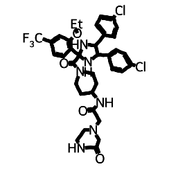 CCOc1cc(C(F)(F)F)ccc1C1(C(=O)N2CCC(NC(=O)CN3CCNC(=O)C3)CC2)NC(c2ccc(Cl)cc2)C(c2ccc(Cl)cc2)N1